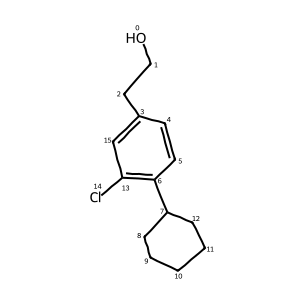 OCCc1ccc(C2CCCCC2)c(Cl)c1